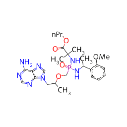 CCCOC(=O)C(C)(C)NP(=O)(COC(C)Cn1cnc2c(N)ncnc21)NC(C)c1ccccc1OC